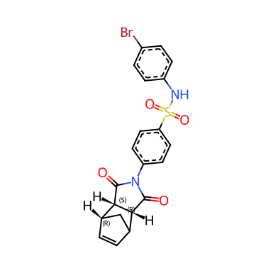 O=C1[C@@H]2[C@H](C(=O)N1c1ccc(S(=O)(=O)Nc3ccc(Br)cc3)cc1)C1C=C[C@H]2C1